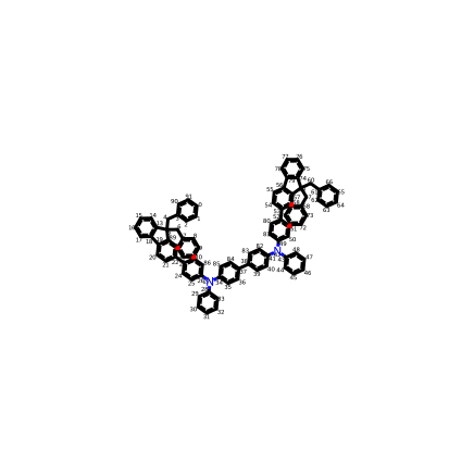 c1ccc(CC2(Cc3ccccc3)c3ccccc3-c3ccc(-c4ccc(N(c5ccccc5)c5ccc(-c6ccc(N(c7ccccc7)c7ccc(-c8ccc9c(c8)C(Cc8ccccc8)(Cc8ccccc8)c8ccccc8-9)cc7)cc6)cc5)cc4)cc32)cc1